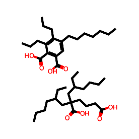 CCCCC(CC)CC(CCCC(=O)O)(CC(CC)CCCC)C(=O)O.CCCCCCCc1cc(C(=O)O)c(C(=O)O)c(CCC)c1CCC